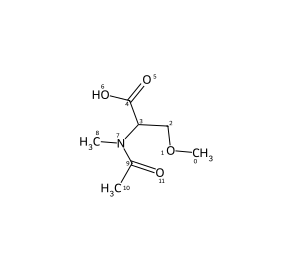 COCC(C(=O)O)N(C)C(C)=O